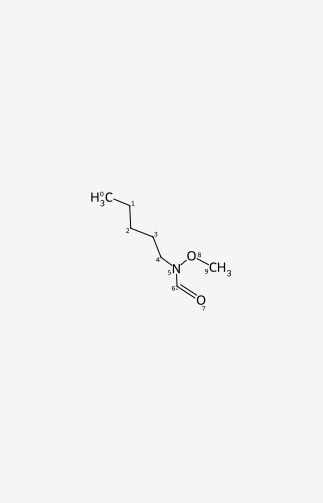 CCCCCN([C]=O)OC